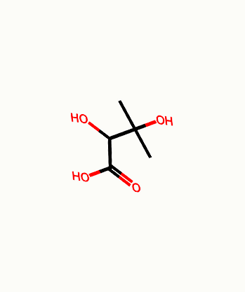 CC(C)(O)C(O)C(=O)O